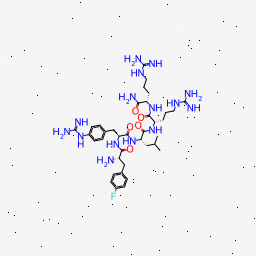 CC(C)C[C@H](NC(=O)[C@H](Cc1ccc(NC(=N)N)cc1)NC(=O)[C@@H](N)Cc1ccc(F)cc1)C(=O)N[C@@H](CCCNC(=N)N)C(=O)N[C@@H](CCCNC(=N)N)C(N)=O